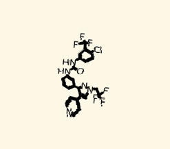 O=C(Nc1cccc(-c2nn(CC(F)(F)F)cc2-c2ccncc2)c1)Nc1ccc(Cl)c(C(F)(F)F)c1